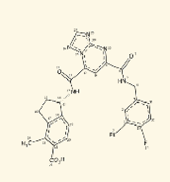 CCc1cc(CNC(=O)c2cc(C(=O)N[C@H]3CCc4c3ccc(C(=O)O)c4C)n3ncnc3n2)ccc1F